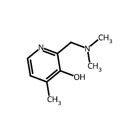 Cc1ccnc(CN(C)C)c1O